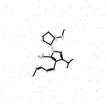 C/C=C\C=C/c1c(C(C)C)cn([C@@H]2CCC[C@H]2OC)c1N